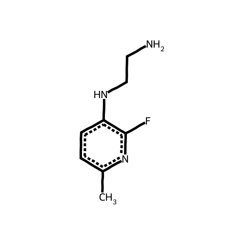 Cc1ccc(NCCN)c(F)n1